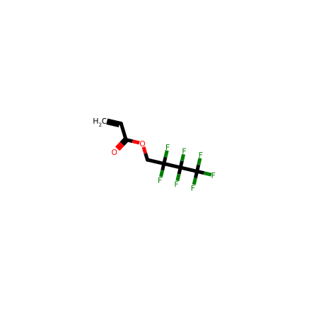 C=CC(=O)OCC(F)(F)C(F)(F)C(F)(F)F